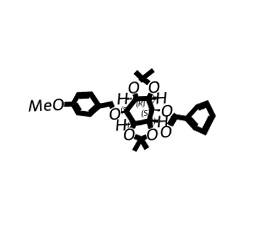 COc1ccc(CO[C@@H]2[C@H]3OC(C)(C)O[C@@H]3[C@H](OC(=O)c3ccccc3)[C@@H]3OC(C)(C)O[C@@H]23)cc1